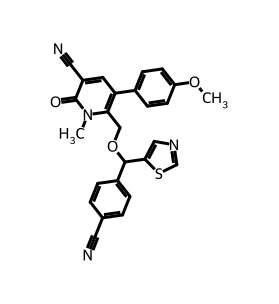 COc1ccc(-c2cc(C#N)c(=O)n(C)c2COC(c2ccc(C#N)cc2)c2cncs2)cc1